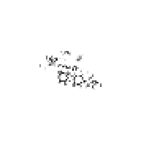 CC1=C(CC(C)C)[CH]([Zr+2][Si](C)C)c2cccc(-c3ccc(C(C)(C)C)cc3)c21.[Cl-].[Cl-]